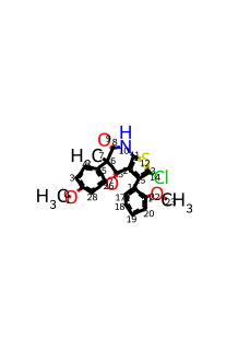 COc1ccc(C2(C)C(=O)Nc3sc(Cl)c(-c4ccccc4OC)c3C2=O)cc1